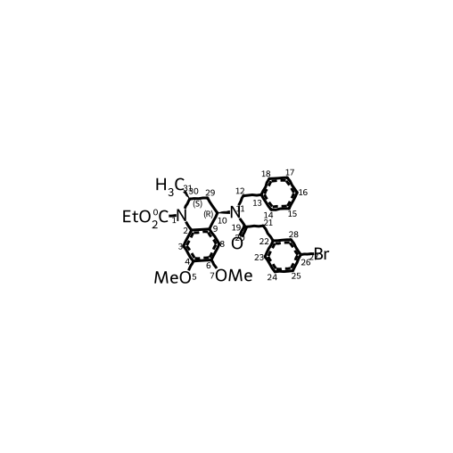 CCOC(=O)N1c2cc(OC)c(OC)cc2[C@H](N(Cc2ccccc2)C(=O)Cc2cccc(Br)c2)C[C@@H]1C